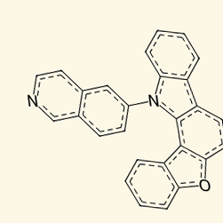 c1ccc2c(c1)oc1ccc3c4ccccc4n(-c4ccc5cnccc5c4)c3c12